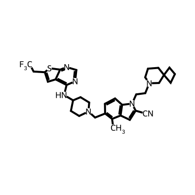 Cc1c(CN2CCC(Nc3ncnc4sc(CC(F)(F)F)cc34)CC2)ccc2c1cc(C#N)n2CCN1CCCC2(CCC2)C1